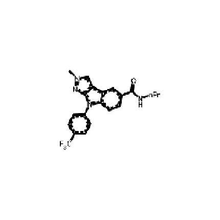 CCCNC(=O)c1ccc2c(c1)c1cn(C)nc1n2-c1ccc(C(F)(F)F)cc1